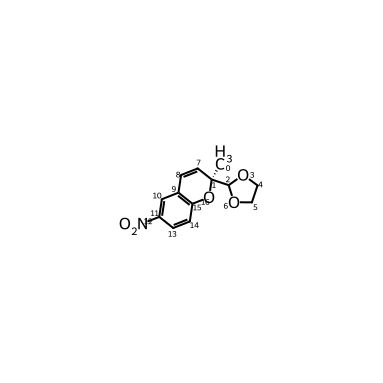 C[C@@]1(C2OCCO2)C=Cc2cc([N+](=O)[O-])ccc2O1